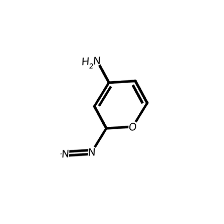 [N]=NC1C=C(N)C=CO1